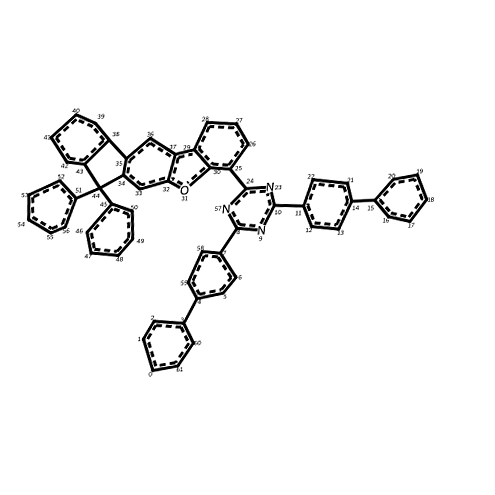 c1ccc(-c2ccc(-c3nc(-c4ccc(-c5ccccc5)cc4)nc(-c4cccc5c4oc4cc6c(cc45)-c4ccccc4C6(c4ccccc4)c4ccccc4)n3)cc2)cc1